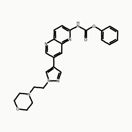 O=C(Nc1ccc2ncc(-c3cnn(CCN4CCOCC4)c3)cc2n1)Oc1ccccc1